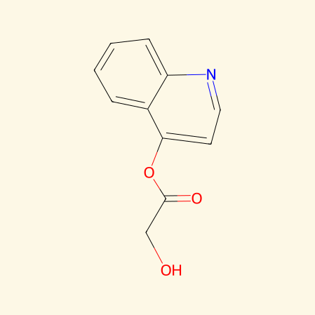 O=C(CO)Oc1ccnc2ccccc12